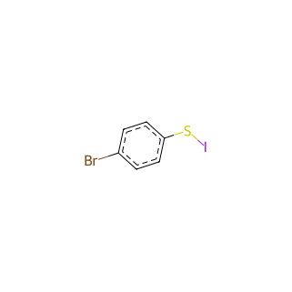 Brc1ccc(SI)cc1